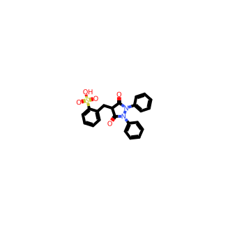 O=C1C(Cc2ccccc2S(=O)(=O)O)C(=O)N(c2ccccc2)N1c1ccccc1